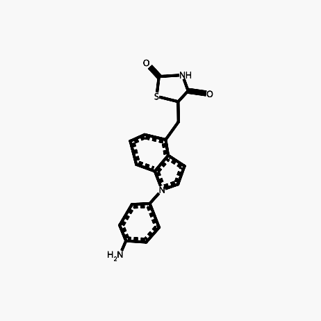 Nc1ccc(-n2ccc3c(CC4SC(=O)NC4=O)cccc32)cc1